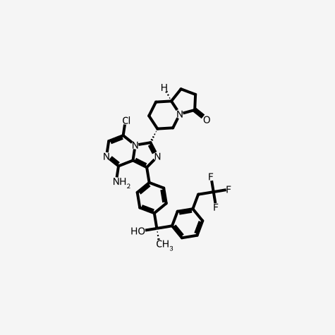 C[C@](O)(c1ccc(-c2nc([C@@H]3CC[C@H]4CCC(=O)N4C3)n3c(Cl)cnc(N)c23)cc1)c1cccc(CC(F)(F)F)c1